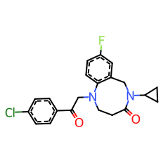 O=C(CN1CCC(=O)N(C2CC2)Cc2cc(F)ccc21)c1ccc(Cl)cc1